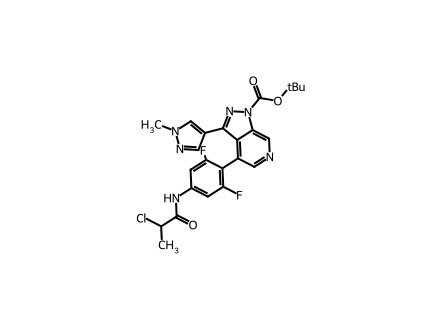 CC(Cl)C(=O)Nc1cc(F)c(-c2cncc3c2c(-c2cnn(C)c2)nn3C(=O)OC(C)(C)C)c(F)c1